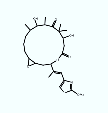 COc1nc(/C=C(\C)C2CC3OC3CCCC(C)C(O)C(C)C(=O)C(C)(C)C(O)CC(=O)O2)cs1